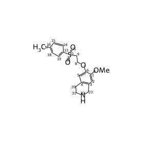 COc1cc2c(cc1OCCS(=O)(=O)c1ccc(C)cc1)CCNC2